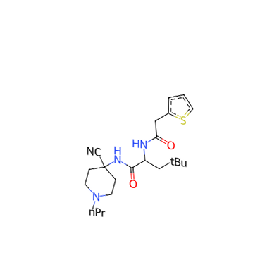 CCCN1CCC(C#N)(NC(=O)C(CC(C)(C)C)NC(=O)Cc2cccs2)CC1